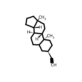 C#C[C@@H]1CC[C@@]2(C)C(CC[C@H]3[C@@H]4CCC[C@@]4(C)CC[C@@H]32)C1